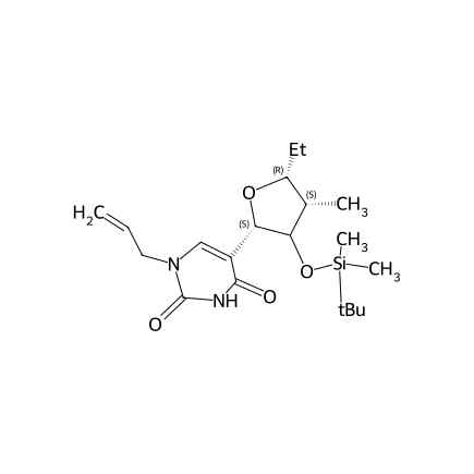 C=CCn1cc([C@@H]2O[C@H](CC)[C@H](C)C2O[Si](C)(C)C(C)(C)C)c(=O)[nH]c1=O